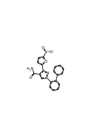 NC(=O)c1cn(-c2ccccc2-c2ccccc2)nc1-c1ccc([N+](=O)[O-])o1